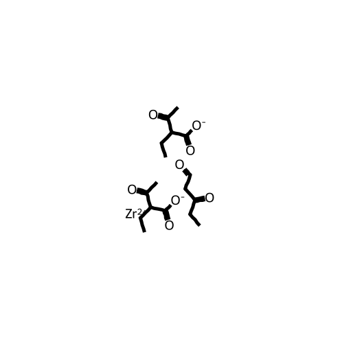 CCC(=O)CC=O.CCC(C(C)=O)C(=O)[O-].CCC(C(C)=O)C(=O)[O-].[Zr+2]